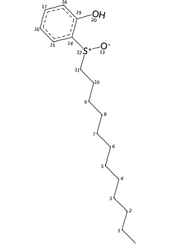 CCCCCCCCCCCC[S+]([O-])c1ccccc1O